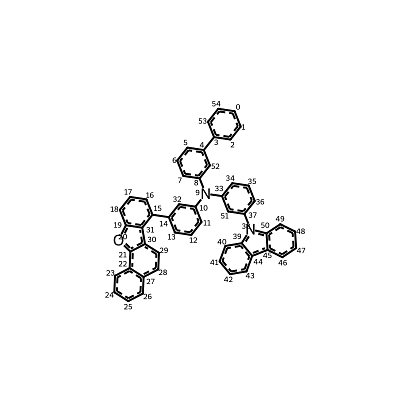 c1ccc(-c2cccc(N(c3cccc(-c4cccc5oc6c7ccccc7ccc6c45)c3)c3cccc(-n4c5ccccc5c5ccccc54)c3)c2)cc1